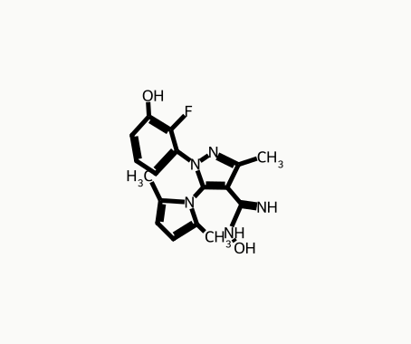 Cc1nn(-c2cccc(O)c2F)c(-n2c(C)ccc2C)c1C(=N)NO